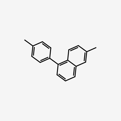 Cc1ccc(-c2cccc3cc(C)ccc23)cc1